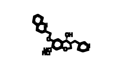 Cl.Cl.O[C@H]1c2cc(OCc3ccc4ccccc4n3)ccc2OC[C@@H]1Cc1cccnc1